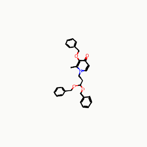 Cc1c(OCc2ccccc2)c(=O)ccn1CCC(OCc1ccccc1)OCc1ccccc1